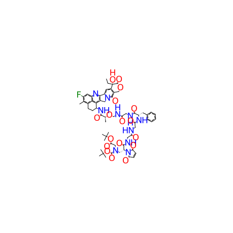 CC[C@@]1(O)C(=O)OCc2c1cc1n(c2=O)Cc2c-1nc1cc(F)c(C)c3c1c2[C@@H](NC(=O)[C@H](C)OCNC(=O)CNC(=O)[C@H](Cc1ccccc1)NC(=O)CNC(=O)CNC(=O)[C@@H](CN(CC(=O)OC(C)(C)C)C(=O)OC(C)(C)C)N1C(=O)C=CC1=O)CC3